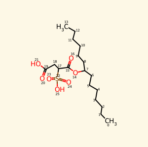 CCCCCCCC(CCCCCC)OC(=O)C(CC(=O)O)S(=O)(=O)O